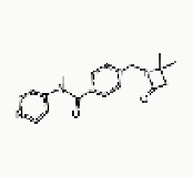 CC1(C)CC(=O)N1Cc1ccc(C(=O)Nc2ccncc2)cc1